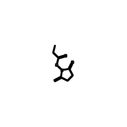 C=C1CCC(=O)N1OC(=O)CC